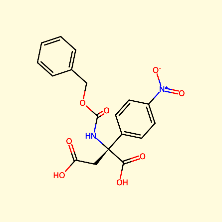 O=C(O)C[C@](NC(=O)OCc1ccccc1)(C(=O)O)c1ccc([N+](=O)[O-])cc1